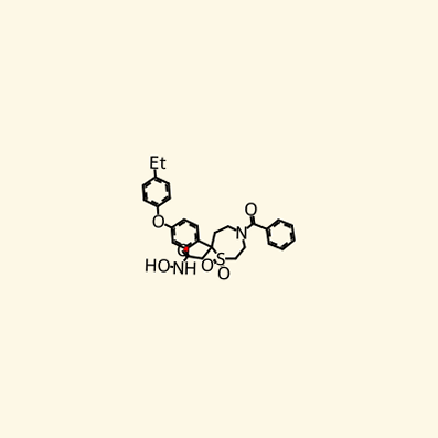 CCc1ccc(Oc2ccc(C3(CC(=O)NO)CCN(C(=O)c4ccccc4)CCS3(=O)=O)cc2)cc1